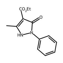 CCOC(=O)c1c(C)[nH]n(-c2ccccc2)c1=O